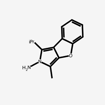 Cc1c2oc3ccccc3c2c(C(C)C)n1N